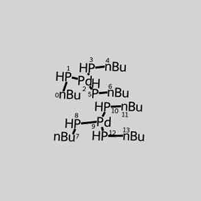 CCCC[PH][Pd]([PH]CCCC)[PH]CCCC.CCCC[PH][Pd]([PH]CCCC)[PH]CCCC